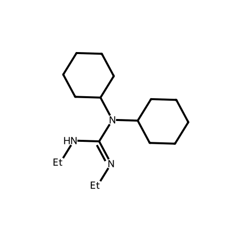 CC/N=C(\NCC)N(C1CCCCC1)C1CCCCC1